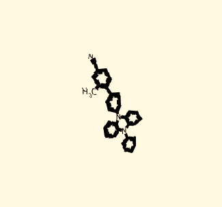 Cc1cc(C#N)ccc1-c1ccc(N2c3ccccc3N(c3ccccc3)c3ccccc32)cc1